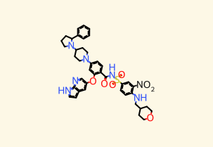 O=C(NS(=O)(=O)c1ccc(NCC2CCOCC2)c([N+](=O)[O-])c1)c1ccc(N2CCC(N3CCCC3c3ccccc3)CC2)cc1Oc1cnc2[nH]ccc2c1